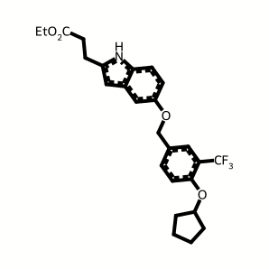 CCOC(=O)CCc1cc2cc(OCc3ccc(OC4CCCC4)c(C(F)(F)F)c3)ccc2[nH]1